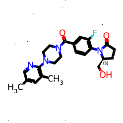 Cc1cnc(N2CCN(C(=O)c3ccc(N4C(=O)CC[C@H]4CO)c(F)c3)CC2)c(C)c1